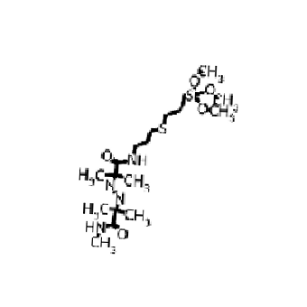 CNC(=O)C(C)(C)N=NC(C)(C)C(=O)NCCCSCCC[Si](OC)(OC)OC